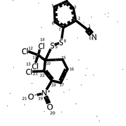 N#Cc1ccccc1SSC1(C(Cl)(Cl)Cl)CC=CC([N+](=O)[O-])=C1Cl